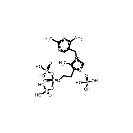 Cc1ncc(C[n+]2csc(CCOP(=O)(OP(=O)(O)O)OP(=O)(O)O)c2C)c(N)n1.O=P(O)(O)O